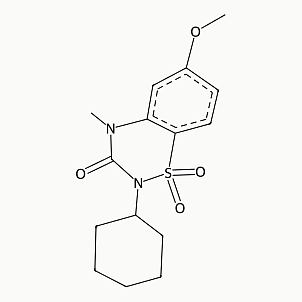 COc1ccc2c(c1)N(C)C(=O)N(C1CCCCC1)S2(=O)=O